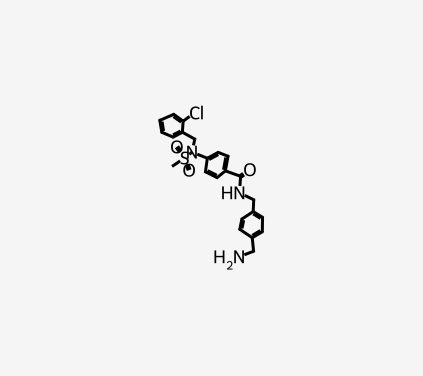 CS(=O)(=O)N(Cc1ccccc1Cl)c1ccc(C(=O)NCc2ccc(CN)cc2)cc1